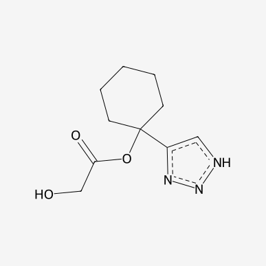 O=C(CO)OC1(c2c[nH]nn2)CCCCC1